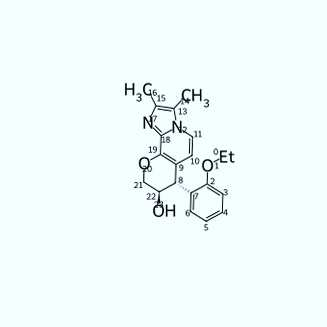 CCOc1ccccc1[C@H]1c2ccn3c(C)c(C)nc3c2OC[C@@H]1O